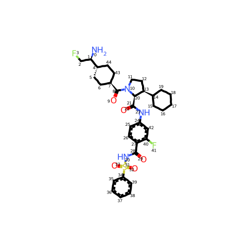 N[C@H](CF)[C@H]1CC[C@H](C(=O)N2CC[C@@H](C3CCCCC3)[C@H]2C(=O)Nc2ccc(C(=O)NS(=O)(=O)c3ccccc3)c(F)c2)CC1